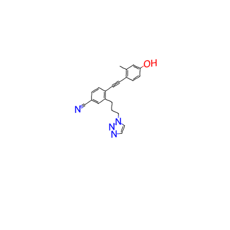 Cc1cc(O)ccc1C#Cc1ccc(C#N)cc1CCCn1ccnn1